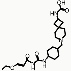 CCOC=CC(=O)NC(=O)NC1CCC(CN2CCC3(CC2)CC(NC(=O)O)C3)CC1